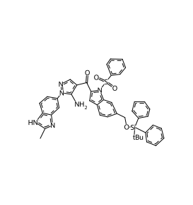 Cc1nc2cc(-n3ncc(C(=O)c4cc5ccc(CO[Si](c6ccccc6)(c6ccccc6)C(C)(C)C)cc5n4S(=O)(=O)c4ccccc4)c3N)ccc2[nH]1